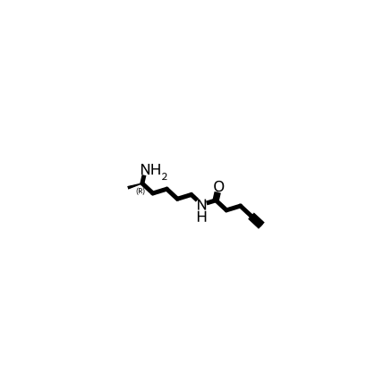 C#CCCC(=O)NCCCC[C@@H](C)N